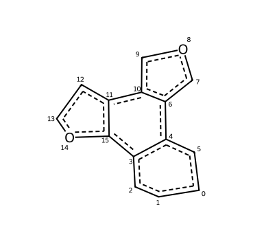 c1ccc2c(c1)c1cocc1c1ccoc21